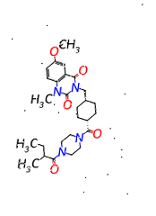 CCC(C)C(=O)N1CCN(C(=O)[C@H]2CC[C@H](Cn3c(=O)c4cc(OC)ccc4n(C)c3=O)CC2)CC1